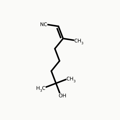 CC(=CC#N)CCCC(C)(C)O